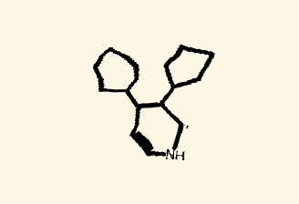 [CH]1NC=CC(C2CCCC2)C1C1CCCC1